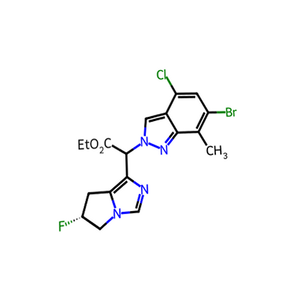 CCOC(=O)C(c1ncn2c1C[C@@H](F)C2)n1cc2c(Cl)cc(Br)c(C)c2n1